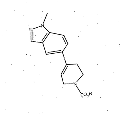 Cn1ncc2cc(C3=CCN(C(=O)O)CC3)ccc21